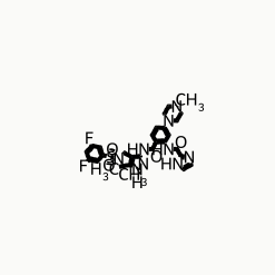 CN1CCN(c2ccc(C(=O)Nc3n[nH]c4c3CN(S(=O)(=O)c3cc(F)cc(F)c3)C4(C)C)c(NC(=O)c3ncc[nH]3)c2)CC1